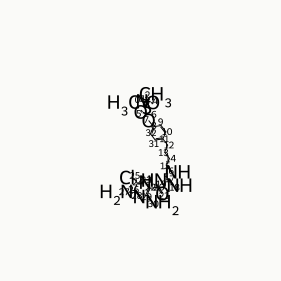 CN(C)S(=O)(=O)COc1ccc(CCCCNC(=N)NC(=O)c2nc(Cl)c(N)nc2N)cc1